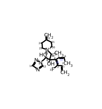 C=C/C(F)=C(\C=C/C)[C@@](O)(Cn1cncn1)[C@@H](C)[N+]1(O)CCC(=C)CC1